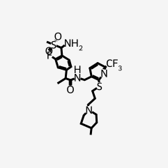 CC1CCN(CCCSc2nc(C(F)(F)F)ccc2CNC(=O)C(C)c2ccc(C(N)S(C)(=O)=O)c(F)c2)CC1